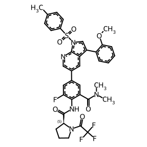 COc1ccccc1-c1cn(S(=O)(=O)c2ccc(C)cc2)c2ncc(-c3cc(F)c(NC(=O)[C@@H]4CCCN4C(=O)C(F)(F)F)c(C(=O)N(C)C)c3)cc12